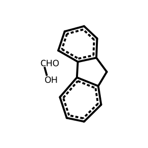 O=CO.c1ccc2c(c1)Cc1ccccc1-2